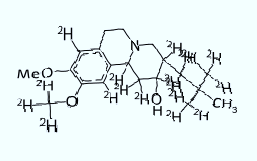 [2H]c1c2c(c([2H])c(OC([2H])([2H])[2H])c1OC)C1([2H])N(CC2)CC([2H])(C([2H])([2H])C(C)(C([2H])([2H])[2H])C([2H])([2H])[2H])C([2H])(O)C1([2H])[2H]